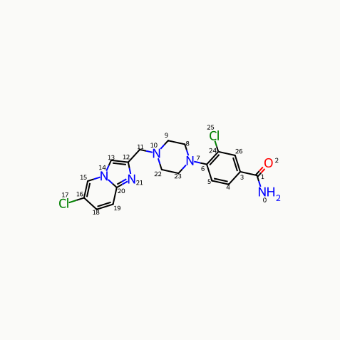 NC(=O)c1ccc(N2CCN(Cc3cn4cc(Cl)ccc4n3)CC2)c(Cl)c1